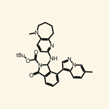 Cc1ccc2c(-c3cccc4c3C(Nc3ccc5c(n3)CCCCN5C)N(C(=O)OC(C)(C)C)C4=O)cnn2c1